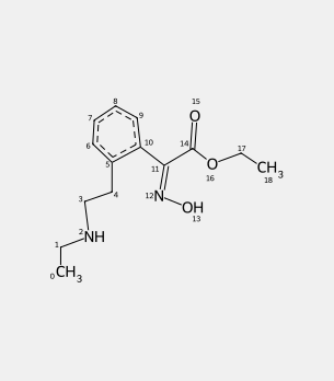 CCNCCc1ccccc1C(=NO)C(=O)OCC